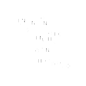 CO/N=C(/C(=O)N[C@@H]1C(=O)N2C(C(=O)O)=C(COC(C)=O)CS[C@H]12)c1csc(N)n1.Cl